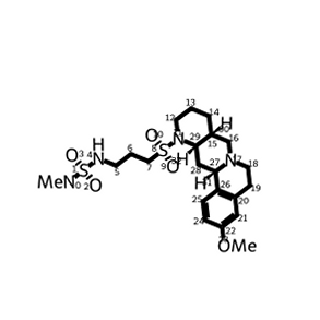 CNS(=O)(=O)NCCCS(=O)(=O)N1CCC[C@@H]2CN3CCc4cc(OC)ccc4[C@@H]3C[C@@H]21